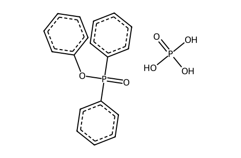 O=P(O)(O)O.O=P(Oc1ccccc1)(c1ccccc1)c1ccccc1